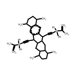 C=C(C)[Si](C#CC1c2cc3c(cc2C(C#C[Si](C(=C)C)(C(C)C)C(C)C)C2CC4C(C)CCC(C)C4CC12)C(C)CCC3C)(C(C)C)C(C)C